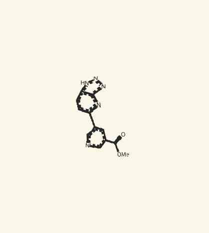 COC(=O)c1cncc(-c2ccc3[nH]nnc3n2)c1